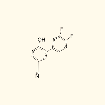 N#Cc1ccc(O)c(-c2ccc(F)c(F)c2)c1